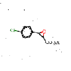 CCOC(=O)C1OC1c1ccc(Cl)cc1